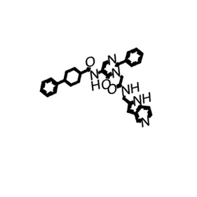 O=C(Cn1c(-c2ccccc2)ncc(NC(=O)C2CCC(c3ccccc3)CC2)c1=O)NCc1cc2cnccc2[nH]1